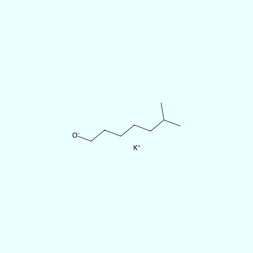 CC(C)CCCCC[O-].[K+]